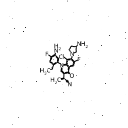 C=C(C#N)c1cn(-c2cc(N)c(F)cc2CC)c2c(Cl)c(N3CCC(N)C3)c(F)cc2c1=O